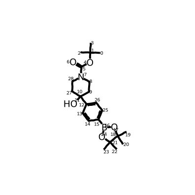 CC(C)(C)OC(=O)N1CCC(O)(c2ccc(B3OC(C)(C)C(C)(C)O3)cc2)CC1